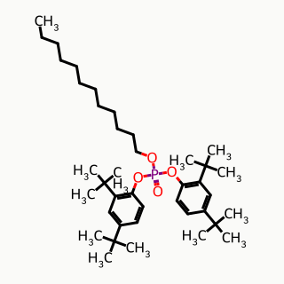 CCCCCCCCCCCCOP(=O)(Oc1ccc(C(C)(C)C)cc1C(C)(C)C)Oc1ccc(C(C)(C)C)cc1C(C)(C)C